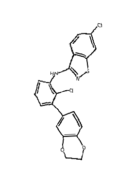 Clc1ccc2c(Nc3cccc(-c4ccc5c(c4)OCCO5)c3Cl)nsc2c1